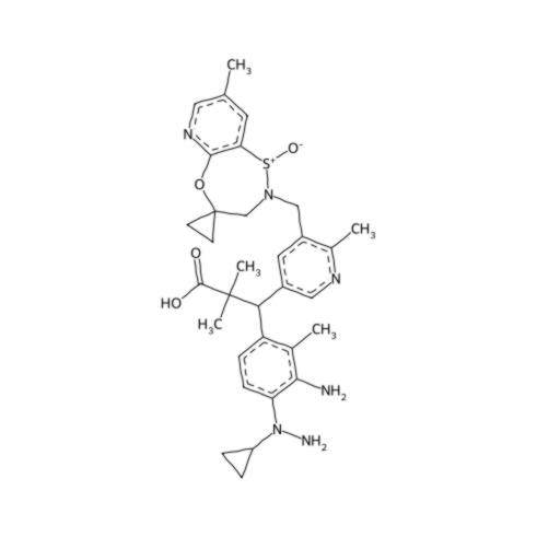 Cc1cnc2c(c1)[S+]([O-])N(Cc1cc(C(c3ccc(N(N)C4CC4)c(N)c3C)C(C)(C)C(=O)O)cnc1C)CC1(CC1)O2